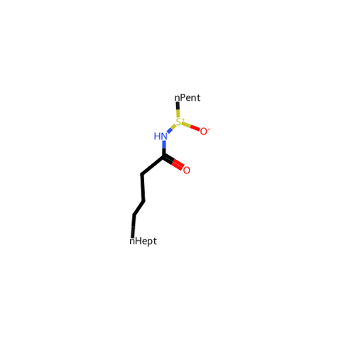 CCCCCCCCCCC(=O)N[S+]([O-])CCCCC